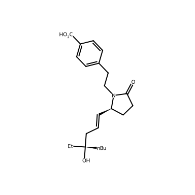 CCCC[C@@](O)(CC)C/C=C/[C@@H]1CCC(=O)N1CCc1ccc(C(=O)O)cc1